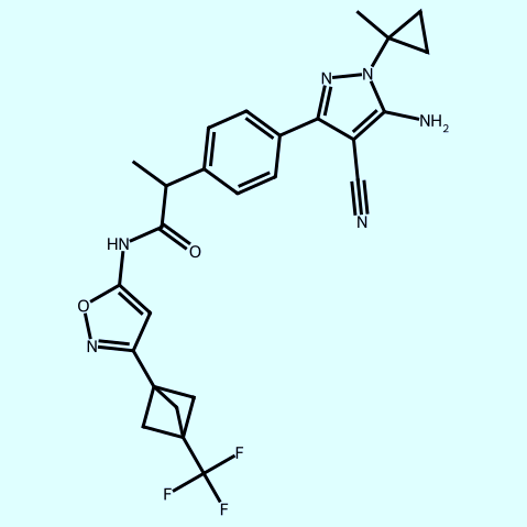 CC(C(=O)Nc1cc(C23CC(C(F)(F)F)(C2)C3)no1)c1ccc(-c2nn(C3(C)CC3)c(N)c2C#N)cc1